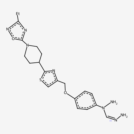 CCc1noc(N2CCC(c3nc(COc4ccc(N(N)/C=N\N)cc4)cs3)CC2)n1